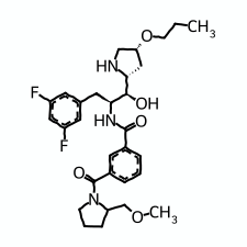 CCCO[C@H]1CN[C@@H]([C@@H](O)[C@H](Cc2cc(F)cc(F)c2)NC(=O)c2cccc(C(=O)N3CCCC3COC)c2)C1